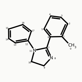 Cc1ccccc1C1=NCCN1c1ccccc1